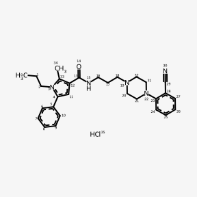 CCCn1c(-c2ccccc2)cc(C(=O)NCCCN2CCN(c3ccccc3C#N)CC2)c1C.Cl